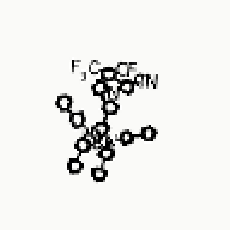 N#Cc1ccc(-n2c3ccccc3c3cc(-c4cc5c6c(c4)N(c4ccc(-c7ccccc7)cc4)c4ccc(-c7ccccc7)cc4B6c4cc(-c6ccccc6)ccc4N5c4ccc(-c5ccccc5)cc4)ccc32)c(-c2ccc(C(F)(F)F)cc2C(F)(F)F)c1